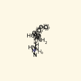 CCCN/C(=N\C#N)NCCCC[C@H](C(N)=O)N(O)S(=O)(=O)c1ccc(Oc2ccccc2)cc1